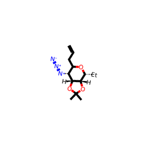 C=CCC1O[C@H](CC)[C@@H]2OC(C)(C)O[C@@H]2[C@@H]1N=[N+]=[N-]